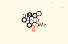 COC(=O)C(CO)N(c1cc2c(cc1[N+](=O)[O-])CCCC2)C(c1ccccc1)(c1ccccc1)c1ccccc1